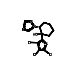 O[C@]1(c2sc(Cl)c(Cl)c2Cl)CCCC[C@H]1n1cncn1